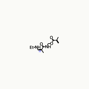 C=C(C)C(=O)OCNC(=O)/C(C)=C\NCC